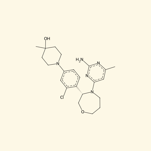 Cc1cc(N2CCCOC[C@@H]2c2ccc(N3CCC(C)(O)CC3)cc2Cl)nc(N)n1